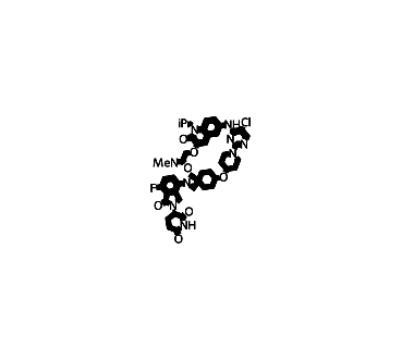 CNC(=O)COc1cc2cc(Nc3nc(N4CCC(OC5CCC6(CC5)CN(c5ccc(F)c7c5CN([C@@H]5CCC(=O)NC5=O)C7=O)C6)CC4)ncc3Cl)ccc2n(C(C)C)c1=O